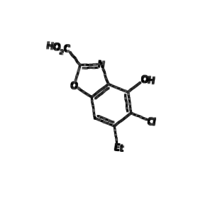 CCc1cc2oc(C(=O)O)nc2c(O)c1Cl